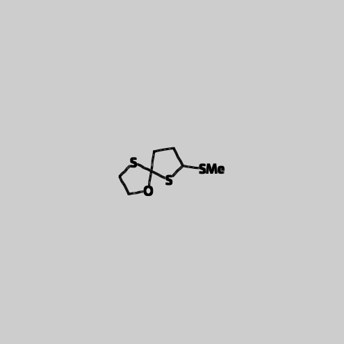 [CH2]SC1CCC2(OCCS2)S1